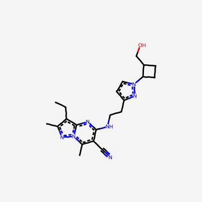 CCc1c(C)nn2c(C)c(C#N)c(NCCc3ccn(C4CCC4CO)n3)nc12